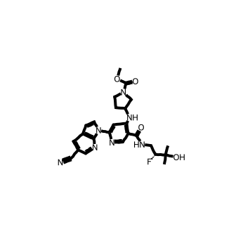 COC(=O)N1CCC(Nc2cc(-n3ccc4cc(C#N)cnc43)ncc2C(=O)NC[C@@H](F)C(C)(C)O)C1